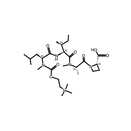 CC[C@H](C)[C@H](NC(=O)[C@H](CC(C)C)N(C)C(=O)OCC[Si](C)(C)C)C(=O)N(C)[C@@H](C)C(=O)N1CC[C@H]1C(=O)O